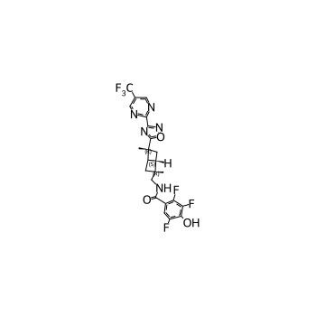 C[C@@]1(CNC(=O)c2cc(F)c(O)c(F)c2F)CC2[C@@H]1C[C@@]2(C)c1nc(-c2ncc(C(F)(F)F)cn2)no1